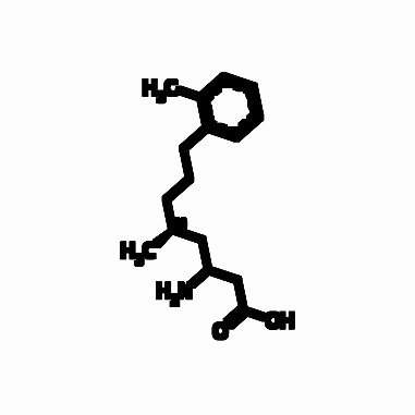 Cc1ccccc1CCC[C@H](C)CC(N)CC(=O)O